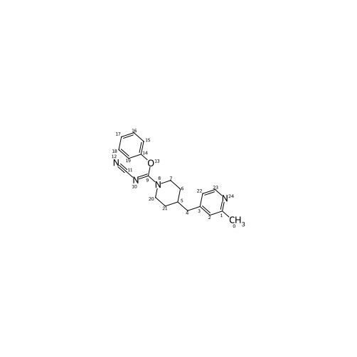 Cc1cc(CC2CCN(/C(=N/C#N)Oc3ccccc3)CC2)ccn1